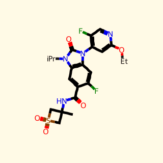 CCOc1cc(-n2c(=O)n(C(C)C)c3cc(C(=O)NC4(C)CS(=O)(=O)C4)c(F)cc32)c(F)cn1